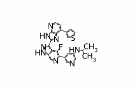 CC(C)Nc1cncc(-c2ncc3[nH]nc(-c4nc5c(-c6ccsc6)ccnc5[nH]4)c3c2F)c1